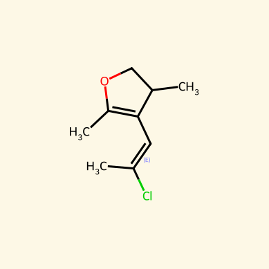 CC1=C(/C=C(\C)Cl)C(C)CO1